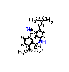 C=C(C)CCc1ccc(NC(=C)c2ccccc2C(=C)C)cc1C#N